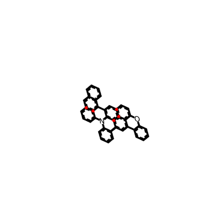 c1ccc(N(c2ccccc2-c2cc3c4c(cccc4c2)Oc2ccccc2-3)c2ccccc2-c2cccc3ccccc23)cc1